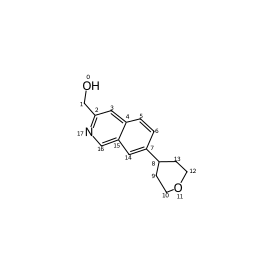 OCc1cc2ccc(C3CCOCC3)cc2cn1